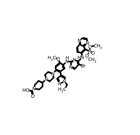 CCn1cc(-c2cc(Nc3ncc(Br)c(Nc4ccc5nccnc5c4P(=O)(OC)OC)n3)c(OC)cc2N2CCN(C3CCN(C(=O)O)CC3)CC2)cn1